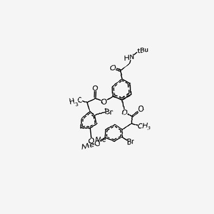 COc1ccc(C(C)C(=O)Oc2ccc(C(=O)CNC(C)(C)C)cc2OC(=O)C(C)c2ccc(OC)cc2Br)c(Br)c1